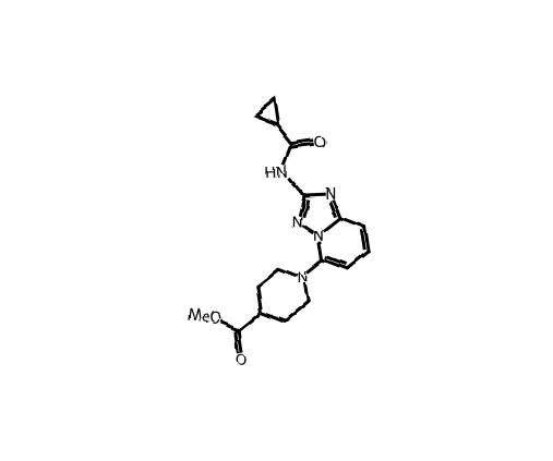 COC(=O)C1CCN(c2cccc3nc(NC(=O)C4CC4)nn23)CC1